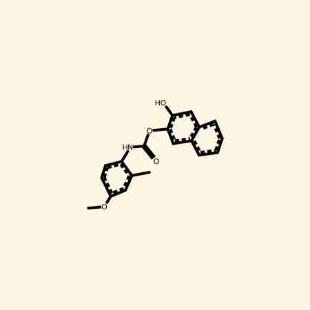 COc1ccc(NC(=O)Oc2cc3ccccc3cc2O)c(C)c1